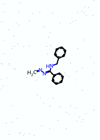 C=N/N=C(\NCc1ccccc1)c1ccccc1